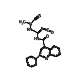 CN(C#N)NC(NC(=O)c1cc(-c2ccccc2)nc2ccccc12)=S=C=O